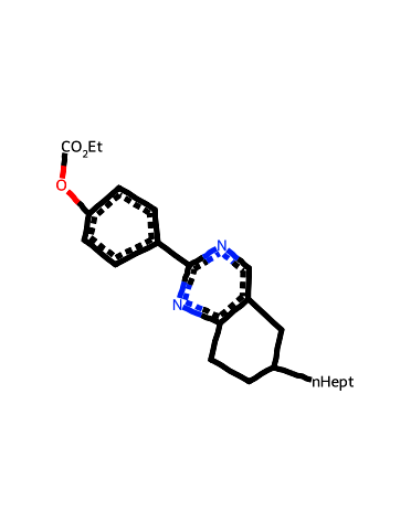 CCCCCCCC1CCc2nc(-c3ccc(OC(=O)OCC)cc3)ncc2C1